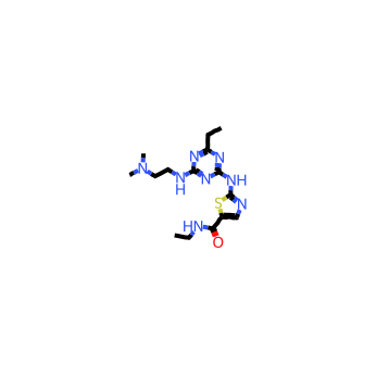 CCNC(=O)c1cnc(Nc2nc(CC)nc(NCCN(C)C)n2)s1